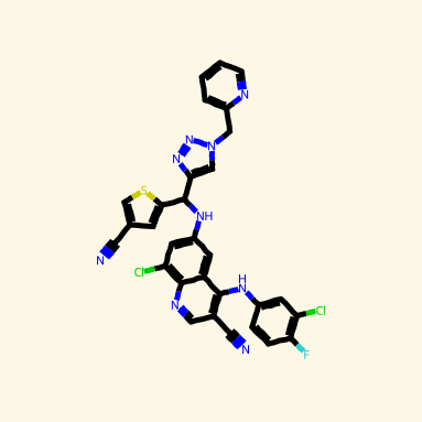 N#Cc1csc(C(Nc2cc(Cl)c3ncc(C#N)c(Nc4ccc(F)c(Cl)c4)c3c2)c2cn(Cc3ccccn3)nn2)c1